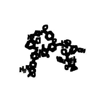 Cc1ncsc1-c1ccc(CNC(=O)[C@@H]2C[C@@H](O)CN2C(=O)[C@@H](NC(=O)C2(F)CC2)C(C)(C)C)c(OC2CCC(C(=O)N3CC(Nc4cccc(Sc5cnc(N6CCC7(CC6)CO[C@@H](C)[C@H]7N)cn5)c4Cl)C3)CC2)c1